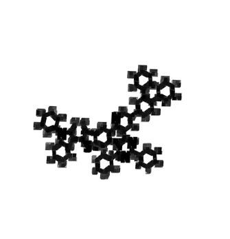 c1ccc(-c2nc(-c3ccccc3)nc(-c3cc(-c4ccc(-c5ccccc5)c(-c5ccccc5)c4)cnc3-c3ccc4sc5c(ccc6c5c5ccccc5n6-c5ccccc5)c4c3)n2)cc1